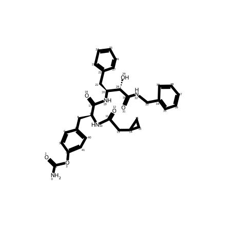 NC(=O)Oc1ccc(C[C@H](NC(=O)[CH]C2CC2)C(=O)N[C@@H](Cc2ccccc2)[C@H](O)C(=O)NCc2ccccc2)cc1